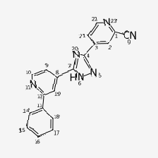 N#Cc1cc(-c2n[nH]c(-c3ccnc(-c4ccccc4)c3)n2)ccn1